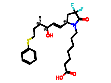 C[C@@H](CCSc1ccccc1)[C@H](O)C=C[C@H]1CC(F)(F)C(=O)N1CCCCCCC(=O)O